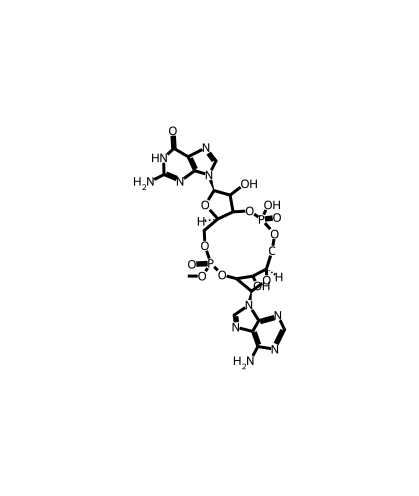 COP1(=O)OC[C@H]2O[C@@H](n3cnc4c(=O)[nH]c(N)nc43)C(O)C2OP(=O)(O)OC[C@H]2O[C@@H](n3cnc4c(N)ncnc43)C(O1)C2O